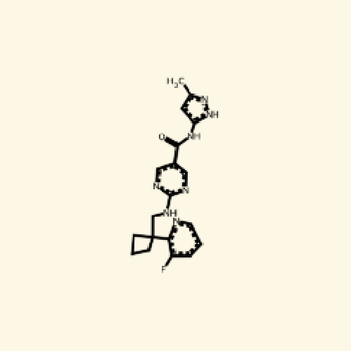 Cc1cc(NC(=O)c2cnc(NCC3(c4ncccc4F)CCC3)nc2)[nH]n1